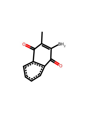 BC1=C(C)C(=O)c2ccccc2C1=O